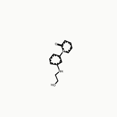 O=c1ccccn1-c1cc[c]c(NCCO)c1